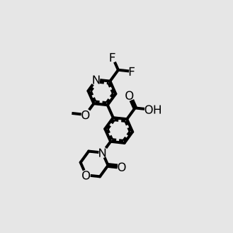 COc1cnc(C(F)F)cc1-c1cc(N2CCOCC2=O)ccc1C(=O)O